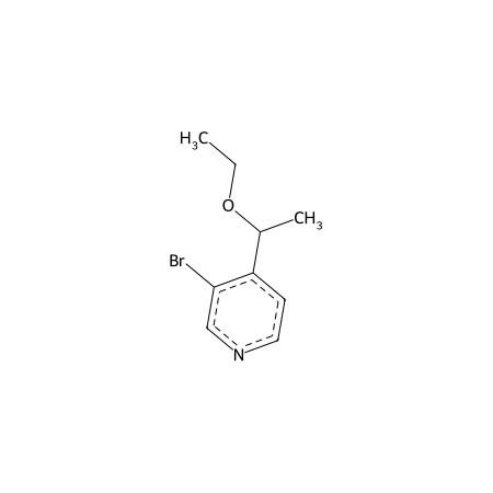 CCOC(C)c1ccncc1Br